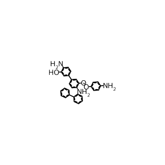 Nc1ccc(OOc2cc(-c3ccc(N)c(O)c3)ccc2N)cc1.c1ccc(-c2ccccc2)cc1